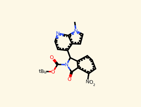 Cn1ccc2c(C3c4cccc([N+](=O)[O-])c4C(=O)N3C(=O)OC(C)(C)C)ccnc21